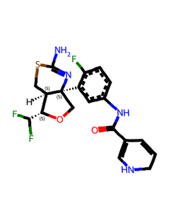 NC1=N[C@@]2(c3cc(NC(=O)C4=CNCC=C4)ccc3F)CO[C@H](C(F)F)[C@H]2CS1